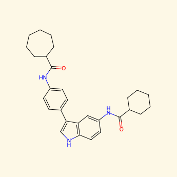 O=C(Nc1ccc(-c2c[nH]c3ccc(NC(=O)C4CCCCC4)cc23)cc1)C1CCCCCC1